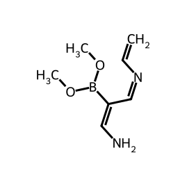 C=C/N=C\C(=C/N)B(OC)OC